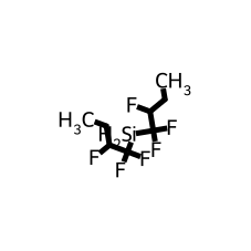 CCC(F)C(F)(F)[SiH2]C(F)(F)C(F)CC